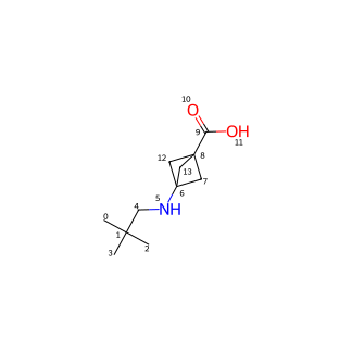 CC(C)(C)CNC12CC(C(=O)O)(C1)C2